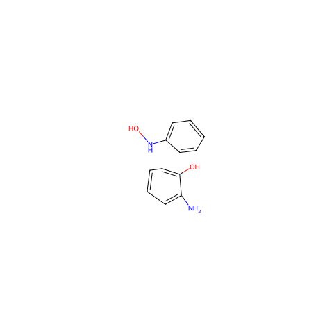 Nc1ccccc1O.ONc1ccccc1